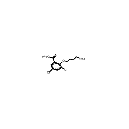 CNCCCCOc1c(Cl)cc(Cl)cc1C(=O)OC